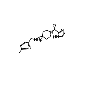 Cc1ccc(CNCC2(F)CCN(C(=O)c3ncc[nH]3)CC2)nc1